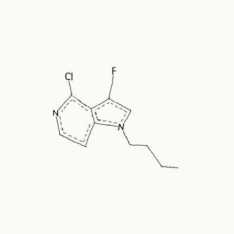 CCCCn1cc(F)c2c(Cl)nccc21